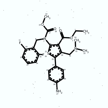 CCOC(=O)c1c(N(Cc2c(F)cccc2F)C(=O)OC)sc(-c2ccc(N)cc2)c1CN(C)C